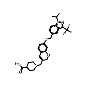 CC(C)n1nc(C(F)(F)F)c2cc(COc3ccc4c(c3)OCC(CN3CCC(C(=O)O)CC3)=C4)ccc21